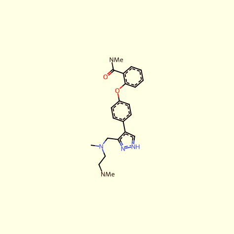 CNCCN(C)Cc1n[nH]cc1-c1ccc(Oc2ccccc2C(=O)NC)cc1